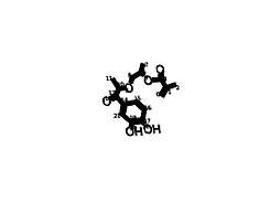 C=C(C)C(=O)OC(C)COC(C)C(=O)c1ccc(O)c(O)c1